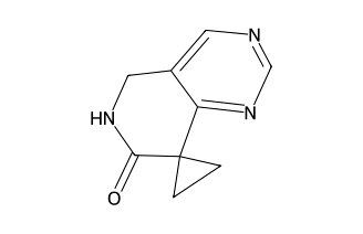 O=C1NCc2cncnc2C12CC2